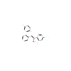 O=C1Nc2cc(Cl)ccc2C1=C(Nc1ccc(I)cc1)c1ccccc1